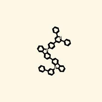 c1ccc(-c2cccc(-n3c4ccccc4c4ccc(-c5ccc6c7ccccc7n(-c7ccc(-c8cc(-c9ccccc9)nc(-c9ccccc9)c8)cc7)c6c5)cc43)c2)cc1